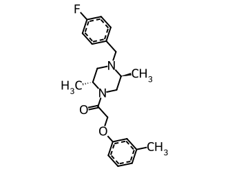 Cc1cccc(OCC(=O)N2C[C@H](C)N(Cc3ccc(F)cc3)C[C@H]2C)c1